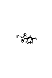 Cc1cc(S(=O)(=O)C(C)C)sn1